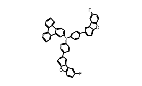 Fc1ccc2oc3ccc(-c4ccc(N(c5ccc(-c6ccc7oc8ccc(F)cc8c7c6)cc5)c5ccc6c7ccccc7c7ccccc7c6c5)cc4)cc3c2c1